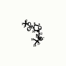 CC(C)(C)OC(=O)N1CCO[C@@H](C=N[S@@+]([O-])C(C)(C)C)C1